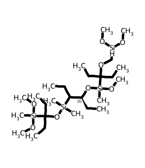 CCC([C@H](CC)O[Si](C)(OC)C(CC)(CC)OC[SiH](OC)OC)[Si](C)(C)OC(CC)(CC)[Si](C)(OC)OC